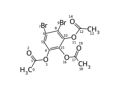 CC(=O)Oc1[c]c(Br)c(Br)c(OC(C)=O)c1OC(C)=O